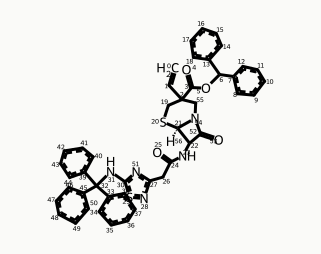 C=CC1(C(=O)OC(c2ccccc2)c2ccccc2)CS[C@@H]2C(NC(=O)Cc3nsc(NC(c4ccccc4)(c4ccccc4)c4ccccc4)n3)C(=O)N2C1